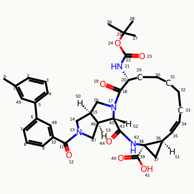 Cc1cccc(-c2cccc(C(=O)N3C[C@H]4CN5C(=O)[C@H](NC(=O)OC(C)(C)C)CCCCC/C=C\[C@H]6C[C@@]6(C(=O)O)NC(=O)[C@@H]5[C@H]4C3)c2)c1